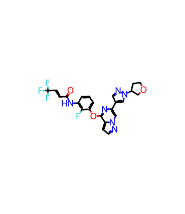 O=C(/C=C/C(F)(F)F)Nc1cccc(Oc2nc(-c3cnn(C4CCOC4)c3)cn3nccc23)c1F